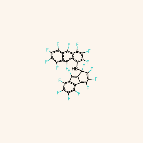 FC1=C2C(=C(F)c3c(F)c(F)c(F)c(F)c32)C(F)(Bc2c(F)c(F)c(F)c3c(F)c4c(F)c(F)c(F)c(F)c4c(F)c23)C(F)=C1F